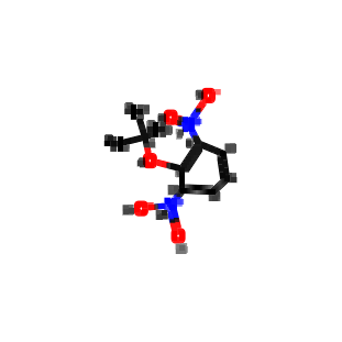 [2H]C([2H])([2H])Oc1c([N+](=O)[O-])cccc1[N+](=O)[O-]